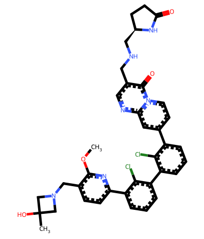 COc1nc(-c2cccc(-c3cccc(-c4ccn5c(=O)c(CNC[C@H]6CCC(=O)N6)cnc5c4)c3Cl)c2Cl)ccc1CN1CC(C)(O)C1